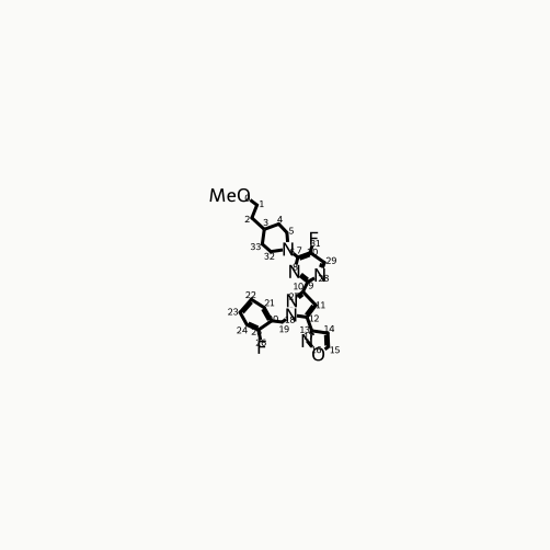 COCCC1CCN(c2nc(-c3cc(-c4ccon4)n(Cc4ccccc4F)n3)ncc2F)CC1